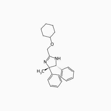 C[C@@]1(c2ccccc2)N=C(COC2CCCCC2)N[C@@H]1c1ccccc1